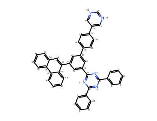 c1ccc(-c2nc(-c3ccccc3)nc(-c3cc(-c4ccc(-c5cncnc5)cc4)cc(-c4cc5ccccc5c5ccccc45)c3)n2)cc1